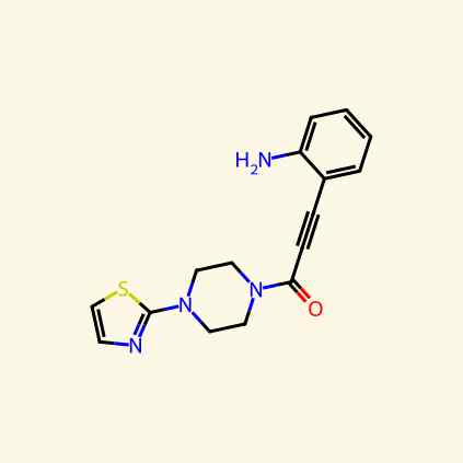 Nc1ccccc1C#CC(=O)N1CCN(c2nccs2)CC1